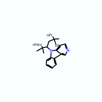 CCCCCCC(C)(C)C(CC(C)(CCC)CCC)n1c2ccccc2c2cnccc21